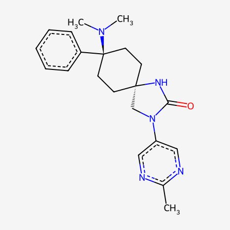 Cc1ncc(N2C[C@]3(CC[C@](c4ccccc4)(N(C)C)CC3)NC2=O)cn1